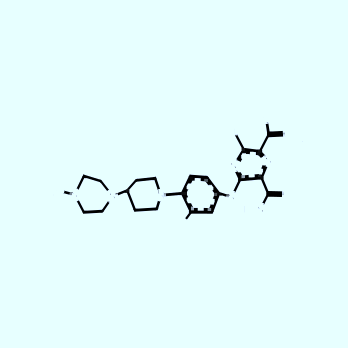 C=C(C)c1nc(C(N)=O)c(Nc2ccc(N3CCC(N4CCN(C)CC4)CC3)c(C(F)(F)F)c2)nc1Cl